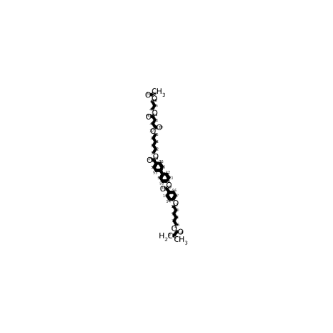 C=C(C)C(=O)OCCCCCCOc1ccc(C(=O)Oc2ccc(-c3ccc(C(=O)OCCCCCCOC(=O)CCC(=O)OCCCOC(C)=O)cc3)cc2)cc1